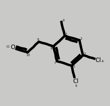 Cc1cc(Cl)c(Cl)cc1CC=O